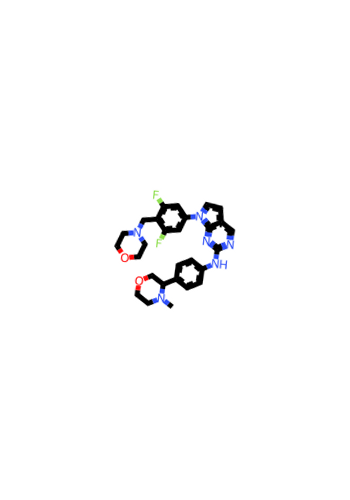 CN1CCOCC1c1ccc(Nc2ncc3ccn(-c4cc(F)c(CN5CCOCC5)c(F)c4)c3n2)cc1